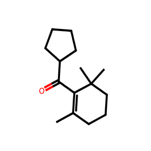 CC1=C(C(=O)C2CCCC2)C(C)(C)CCC1